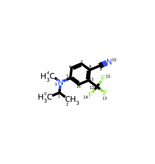 CC(C)N(C)c1ccc(C#N)c(C(F)(F)F)c1